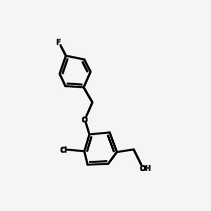 OCc1ccc(Cl)c(OCc2ccc(F)cc2)c1